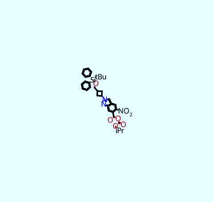 CC(C)OC(=O)OC(=O)c1cc2nn(C3CC(CO[Si](c4ccccc4)(c4ccccc4)C(C)(C)C)C3)cc2cc1[N+](=O)[O-]